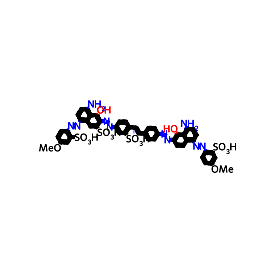 COc1ccc(N=Nc2ccc(N)c3c(O)c(N=Nc4ccc(/C=C/c5ccc(N=Nc6c(S(=O)(=O)O)cc7c(N=Nc8ccc(OC)cc8S(=O)(=O)O)ccc(N)c7c6O)cc5S(=O)(=O)O)cc4)ccc23)c(S(=O)(=O)O)c1